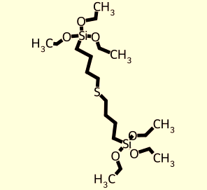 CCO[Si](CCCCSCCCC[Si](OCC)(OCC)OCC)(OCC)OCC